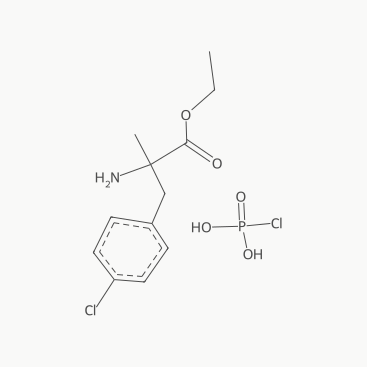 CCOC(=O)C(C)(N)Cc1ccc(Cl)cc1.O=P(O)(O)Cl